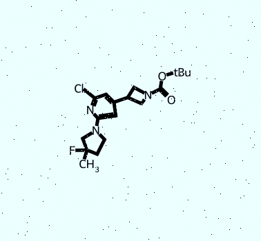 CC1(F)CCN(c2cc(C3CN(C(=O)OC(C)(C)C)C3)cc(Cl)n2)C1